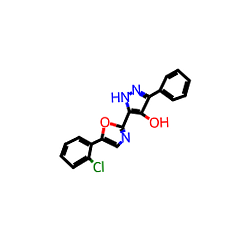 Oc1c(-c2ccccc2)n[nH]c1-c1ncc(-c2ccccc2Cl)o1